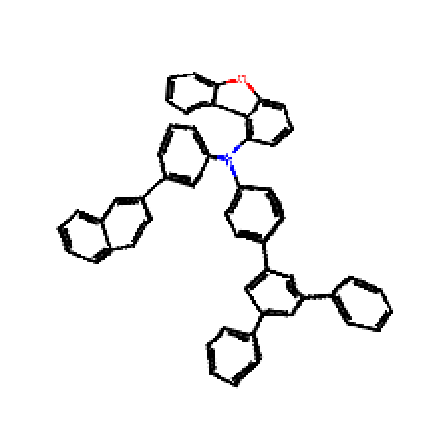 c1ccc(-c2cc(-c3ccccc3)cc(-c3ccc(N(c4cccc(-c5ccc6ccccc6c5)c4)c4cccc5oc6ccccc6c45)cc3)c2)cc1